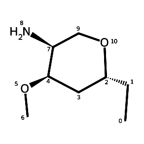 CC[C@@H]1C[C@@H](OC)[C@@H](N)CO1